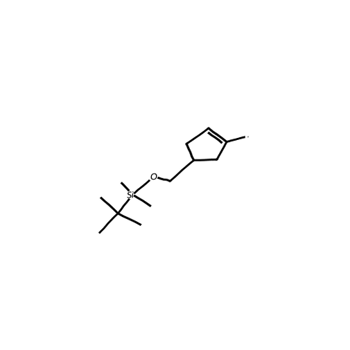 [CH2]C1=CCC(CO[Si](C)(C)C(C)(C)C)C1